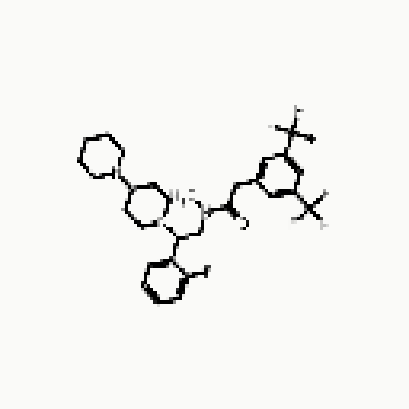 CN(CC(c1ccccc1F)N1CCC(N2CCCCC2)CC1)C(=O)Cc1cc(C(F)(F)F)cc(C(F)(F)F)c1